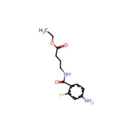 CCOC(=O)CCCNC(=O)c1ccc(N)cc1F